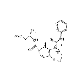 COCC(NC(=O)C1C=CC2=C(N1)N(C(=O)Nc1ccccn1)[C@H]1CCN2C1)C(F)(F)F